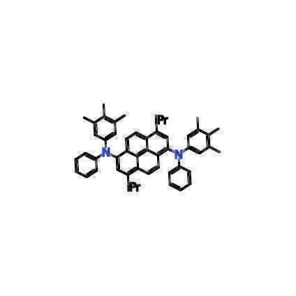 Cc1cc(N(c2ccccc2)c2cc(C(C)C)c3ccc4c(N(c5ccccc5)c5cc(C)c(C)c(C)c5)cc(C(C)C)c5ccc2c3c54)cc(C)c1C